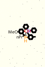 CCCC(CC)(Pc1ccc(C)cc1CN(c1ccccc1)c1ccccc1)c1cc(OC)ccc1O